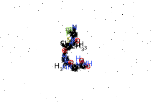 CCc1cc(N2C(=S)N(c3ccc(C#N)c(C(F)(F)F)c3)C(=O)C2(C)C)ccc1OCCN1CCN([C@H](C)C(=O)Nc2cccc(NC3CCC(=O)NC3=O)c2)CC1